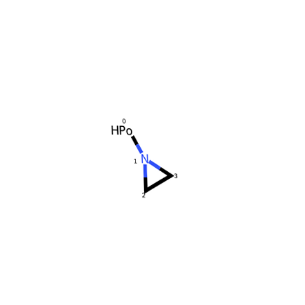 [PoH][N]1CC1